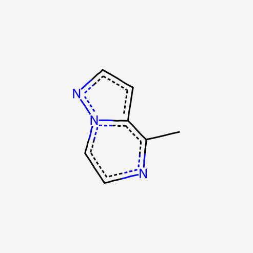 Cc1nccn2nccc12